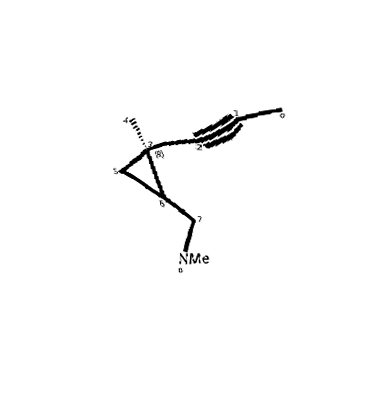 CC#C[C@]1(C)CC1CNC